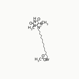 CC(=O)OC(CBr)CCCCCCCCCCCCN1CN(C)c2c1n(C)c(=O)[nH]c2=O